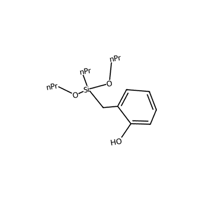 CCCO[Si](CCC)(Cc1ccccc1O)OCCC